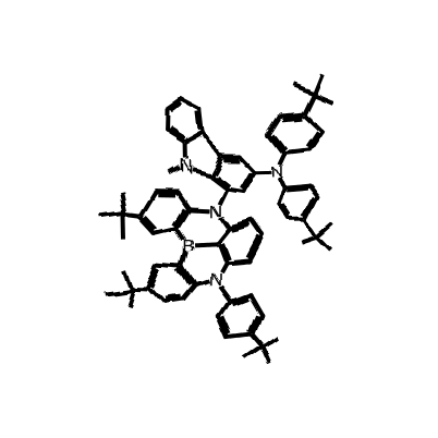 Cn1c2ccccc2c2cc(N(c3ccc(C(C)(C)C)cc3)c3ccc(C(C)(C)C)cc3)cc(N3c4ccc(C(C)(C)C)cc4B4c5cc(C(C)(C)C)ccc5N(c5ccc(C(C)(C)C)cc5)c5cccc3c54)c21